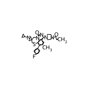 C=CC(=O)N1CCN(c2nc(=O)n3c4c(c(-c5ccc(F)cc5)c(C)cc24)SCC2(CN(C4CC4)C2)C3)CC1